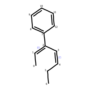 C/C=C(\C=C/CC)c1ccccc1